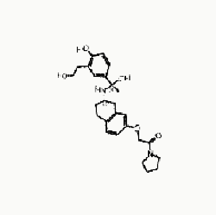 C[C@@](O)(N[C@H]1CCc2ccc(OCC(=O)N3CCCC3)cc2C1)c1ccc(O)c(CCO)c1